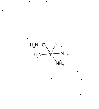 [NH2][Pd-]([NH2])([NH2])([NH2])[Cl].[NH4+]